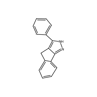 [c]1ccccc1-c1[nH]nc2c1Cc1ccccc1-2